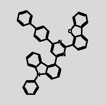 c1ccc(-c2ccc(-c3cc(-c4cccc5c4c4ccccc4n5-c4ccccc4)nc(-c4cccc5c4oc4ccccc45)n3)cc2)cc1